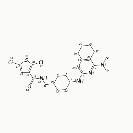 CN(C)c1nc(NC2CCC(CNC(=O)c3cc(Cl)sc3Cl)CC2)nc2c1CCCC2